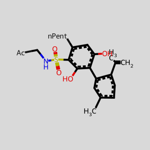 C=C(C)c1ccc(C)cc1-c1c(O)cc(CCCCC)c(S(=O)(=O)NCC(C)=O)c1O